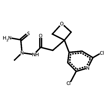 CN(NC(=O)CC1(c2cc(Cl)nc(Cl)c2)COC1)C(N)=S